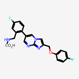 O=C(O)NCc1cc(F)ccc1-c1cnc2nc(COc3ccc(F)cc3)cn2c1